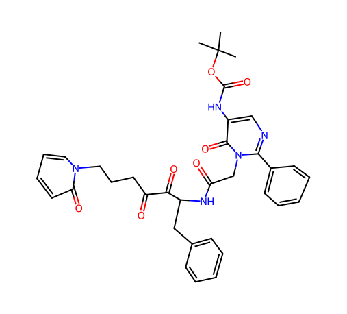 CC(C)(C)OC(=O)Nc1cnc(-c2ccccc2)n(CC(=O)NC(Cc2ccccc2)C(=O)C(=O)CCCn2ccccc2=O)c1=O